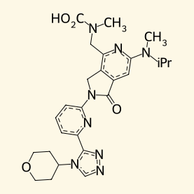 CC(C)N(C)c1cc2c(c(CN(C)C(=O)O)n1)CN(c1cccc(-c3nncn3C3CCOCC3)n1)C2=O